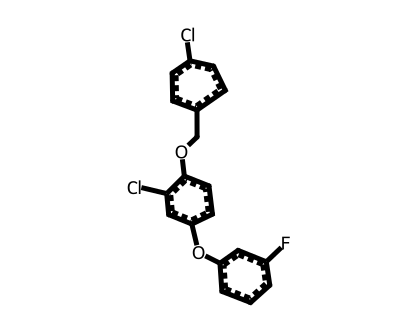 Fc1cccc(Oc2ccc(OCc3ccc(Cl)cc3)c(Cl)c2)c1